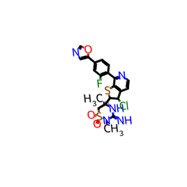 CN1C(=N)N[C@](C)(C2Sc3c(ccnc3-c3ccc(-c4cnco4)cc3F)C2Cl)CS1(=O)=O